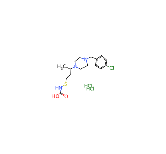 CC(CCSNC(=O)O)N1CCN(Cc2ccc(Cl)cc2)CC1.Cl.Cl